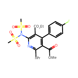 CCCc1nc(N(S(C)(=O)=O)S(C)(=O)=O)c(C(=O)OCC)c(-c2ccc(F)cc2)c1C(=O)OC